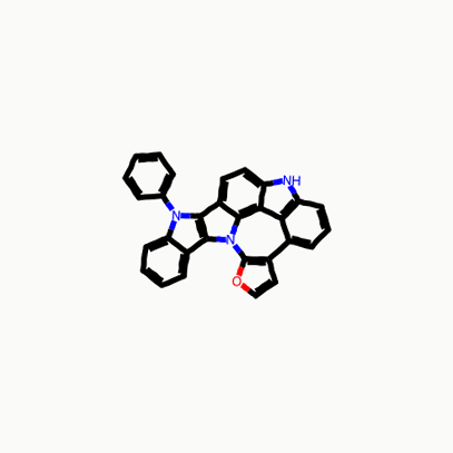 c1ccc(-n2c3ccccc3c3c2c2ccc4[nH]c5cccc6c7ccoc7n3c2c4c56)cc1